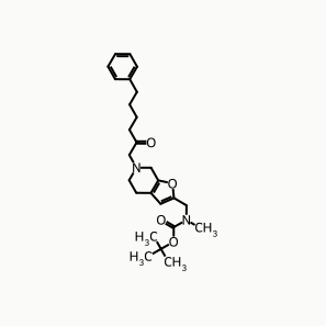 CN(Cc1cc2c(o1)CN(CC(=O)CCCCc1ccccc1)CC2)C(=O)OC(C)(C)C